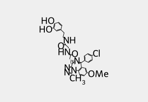 COc1ccc2c(c1)C(c1ccc(Cl)cc1)=N[C@@H](CC(=O)NCC(=O)NCCc1ccc(O)c(O)c1)c1nnc(C)n1-2